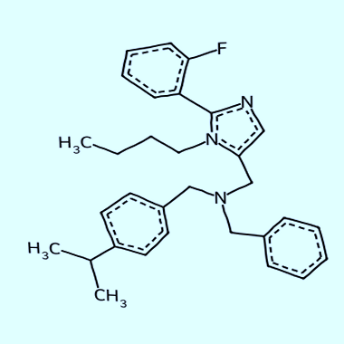 CCCCn1c(CN(Cc2ccccc2)Cc2ccc(C(C)C)cc2)cnc1-c1ccccc1F